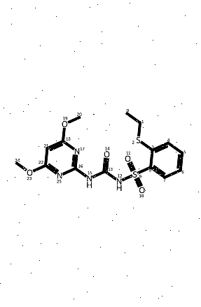 CCSc1ccccc1S(=O)(=O)NC(=O)Nc1nc(OC)cc(OC)n1